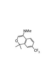 CNC1=COC(C)(C)c2cc(C(F)(F)F)ccc21